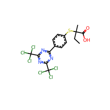 CCC(C)(Sc1ccc(-c2nc(C(Cl)(Cl)Cl)nc(C(Cl)(Cl)Cl)n2)cc1)C(=O)O